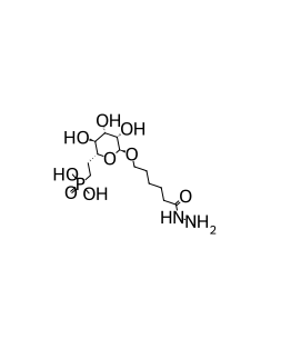 NNC(=O)CCCCCO[C@H]1O[C@H](CCP(=O)(O)O)[C@@H](O)[C@H](O)[C@@H]1O